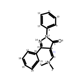 CN(C)/C=C1/C(=O)N(c2ccccc2)N=C1c1ccccc1